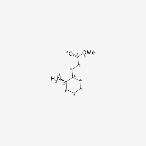 COC(=O)CCC1CCCC[C@H]1N